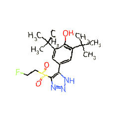 CC(C)(C)c1cc(-c2[nH]nnc2S(=O)(=O)CCF)cc(C(C)(C)C)c1O